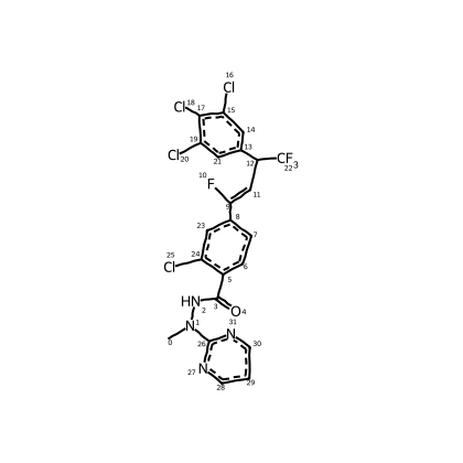 CN(NC(=O)c1ccc(C(F)=CC(c2cc(Cl)c(Cl)c(Cl)c2)C(F)(F)F)cc1Cl)c1ncccn1